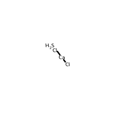 S.[Cl][Ca][Cl]